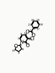 O=C(Oc1ccn(C2CCCO2)c(=O)c1Cl)c1ccccc1